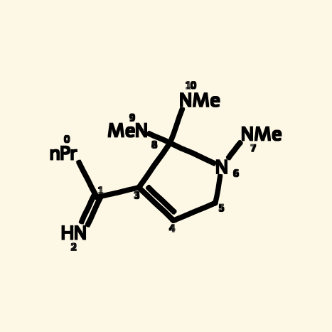 CCCC(=N)C1=CCN(NC)C1(NC)NC